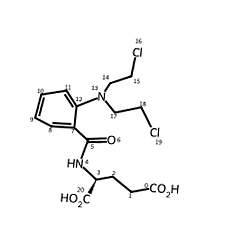 O=C(O)CC[C@H](NC(=O)c1ccccc1N(CCCl)CCCl)C(=O)O